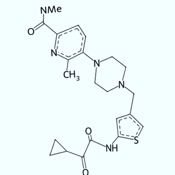 CNC(=O)c1ccc(N2CCN(Cc3csc(NC(=O)C(=O)C4CC4)c3)CC2)c(C)n1